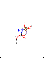 CCCOC(=O)NS(=O)(=O)I